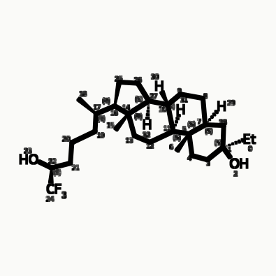 CC[C@]1(O)CC[C@@]2(C)[C@@H](CC[C@@H]3[C@@H]2CC[C@]2(C)[C@@H]([C@H](C)CCC[C@H](O)C(F)(F)F)CC[C@@H]32)C1